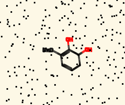 COC1=C(O)C(O)CC=C1